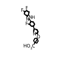 O=C(O)C12CCC(Oc3ccc(-c4ccc(-c5nc6cc(F)c(F)cc6[nH]5)c(F)c4)cn3)(CC1)CC2